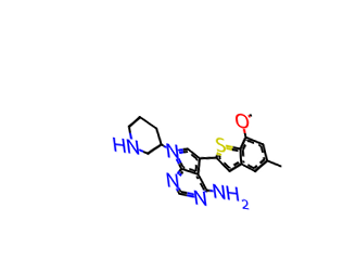 COc1cc(C)cc2cc(-c3cn(C4CCCNC4)c4ncnc(N)c34)sc12